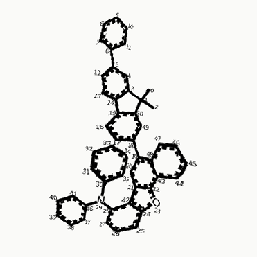 CC1(C)c2cc(-c3ccccc3)ccc2-c2ccc(-c3cc4c(oc5cccc(N(c6ccccc6)c6ccccc6)c54)c4ccccc34)cc21